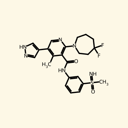 Cc1c(-c2cn[nH]c2)cnc(N2CCCC(F)(F)CC2)c1C(=O)Nc1cccc(S(C)(=N)=O)c1